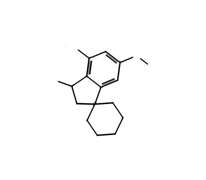 COc1cc(C)c2c(c1)C1(CCCCC1)CC2C